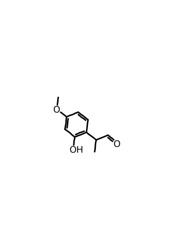 COc1ccc(C(C)C=O)c(O)c1